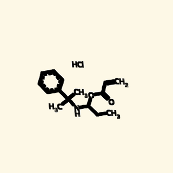 C=CC(=O)OC(CC)NC(C)(C)c1ccccc1.Cl